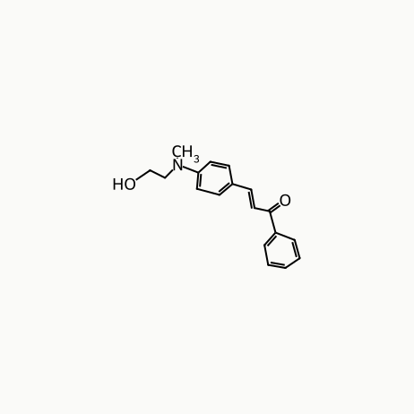 CN(CCO)c1ccc(/C=C/C(=O)c2ccccc2)cc1